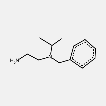 CC(C)N(CCN)Cc1ccccc1